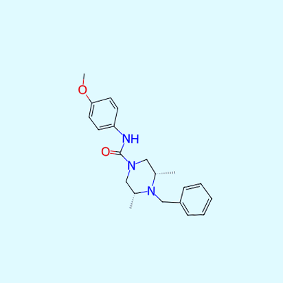 COc1ccc(NC(=O)N2C[C@@H](C)N(Cc3ccccc3)[C@@H](C)C2)cc1